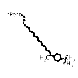 C=C(CCCCC/C=C/C=C/CCC=C=C=CCCCCC)C1CCC(N(C)C)CC1